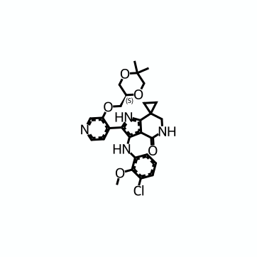 COc1c(Cl)cccc1Nc1c(-c2ccncc2OC[C@H]2COC(C)(C)CO2)[nH]c2c1C(=O)NCC21CC1